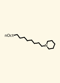 CCCCCCCCCCCCCCCCN1CCCCC1